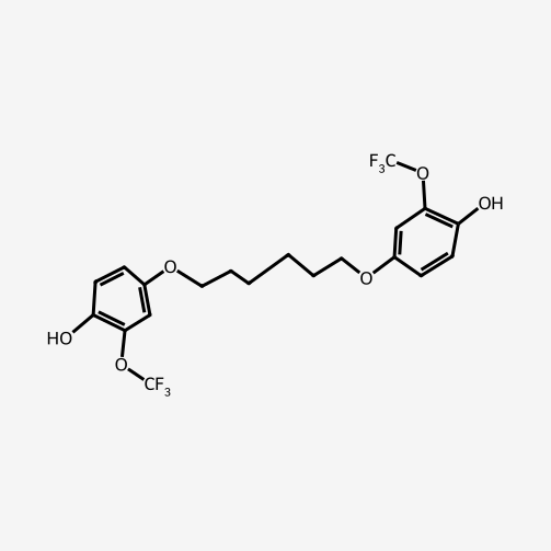 Oc1ccc(OCCCCCCOc2ccc(O)c(OC(F)(F)F)c2)cc1OC(F)(F)F